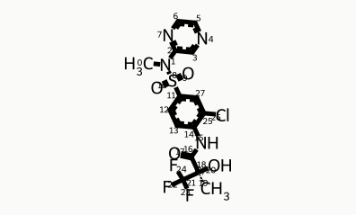 CN(c1cnccn1)S(=O)(=O)c1ccc(NC(=O)[C@@](C)(O)C(F)(F)F)c(Cl)c1